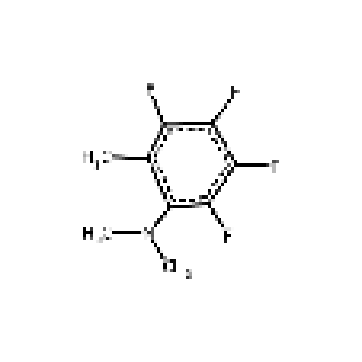 Cc1c(F)c(F)c(F)c(F)c1N(C)C